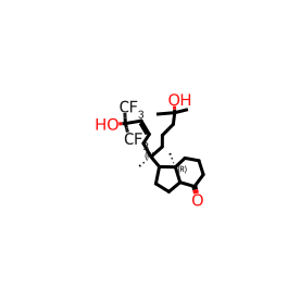 CC(C)(O)CCC[C@](C)(CC=CC(O)(C(F)(F)F)C(F)(F)F)C1CCC2C(=O)CCC[C@@]21C